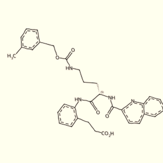 Cc1cccc(COC(=O)NCCC[C@H](NC(=O)c2ccc3ccccc3n2)C(=O)Nc2ccccc2CCC(=O)O)c1